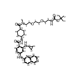 CN(CCOCCOCCNC(=O)OC(C)(C)C)C(=O)C1CCC(NC(=O)c2cnc(Nc3ccc4cnccc4n3)cc2NC2CC2)CC1